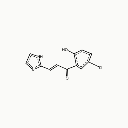 O=C(C=Cc1ncc[nH]1)c1cc(Cl)ccc1O